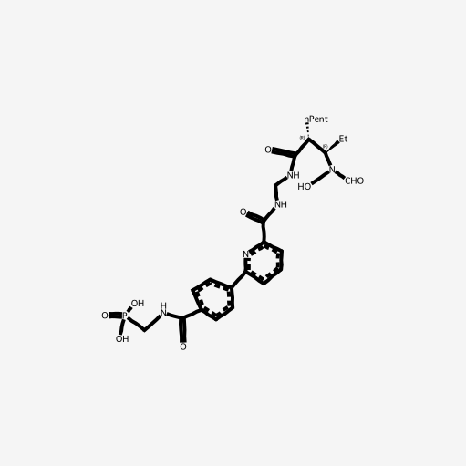 CCCCC[C@@H](C(=O)NCNC(=O)c1cccc(-c2ccc(C(=O)NCP(=O)(O)O)cc2)n1)[C@@H](CC)N(O)C=O